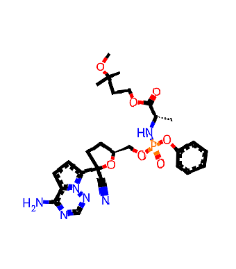 COC(C)(C)CCOC(=O)[C@H](C)NP(=O)(OC[C@@H]1CCC(C#N)(c2ccc3c(N)ncnn23)O1)Oc1ccccc1